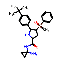 C=S(=O)(c1ccccc1)C1CC(C(=O)NC2(N)CC2)NC1c1ccc(C(C)(C)C)cc1